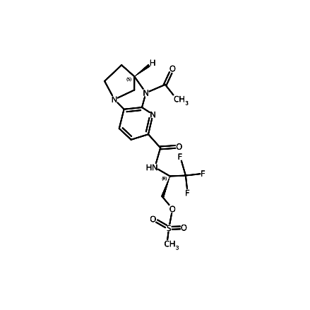 CC(=O)N1c2nc(C(=O)N[C@H](COS(C)(=O)=O)C(F)(F)F)ccc2N2CC[C@H]1C2